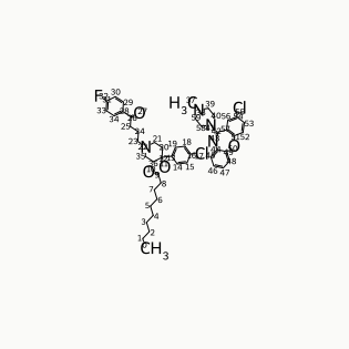 CCCCCCCCCC(=O)OC1(c2ccc(Cl)cc2)CCN(CCCC(=O)c2ccc(F)cc2)CC1.CN1CCN(C2=Nc3ccccc3Oc3ccc(Cl)cc32)CC1